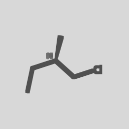 CC[C@@H](C)CCl